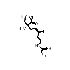 CC[C@](N)(C/C=C(/F)CCNC(C)=N)C(=O)O